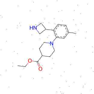 CCOC(=O)C1CCN(c2cc(C)ccc2C2CNC2)CC1